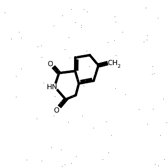 C=C1C=C2CC(=O)NC(=O)C2=CC1